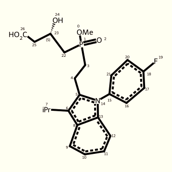 COP(=O)(CCc1c(C(C)C)c2ccccc2n1-c1ccc(F)cc1)C[C@@H](O)CC(=O)O